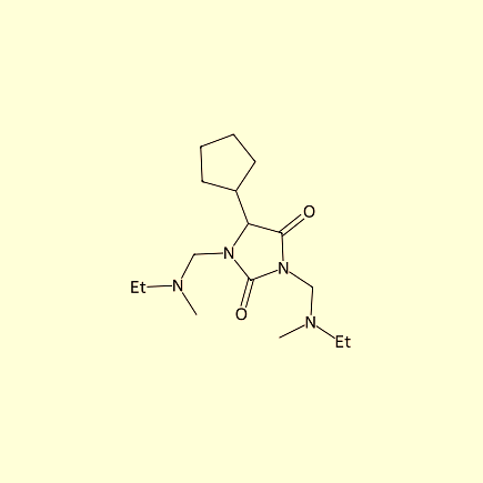 CCN(C)CN1C(=O)C(C2CCCC2)N(CN(C)CC)C1=O